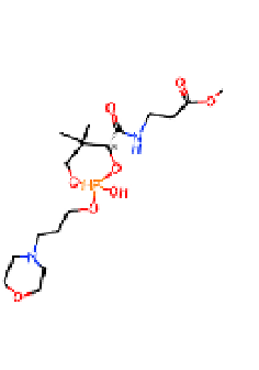 COC(=O)CCNC(=O)[C@@H]1O[PH](O)(OCCCN2CCOCC2)OCC1(C)C